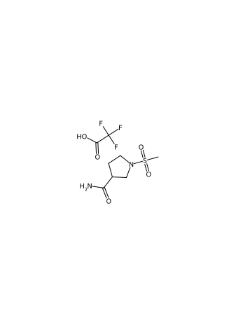 CS(=O)(=O)N1CCC(C(N)=O)C1.O=C(O)C(F)(F)F